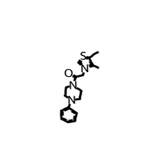 Cc1sc[n+](CC(=O)N2CCN(c3ccccc3)CC2)c1C